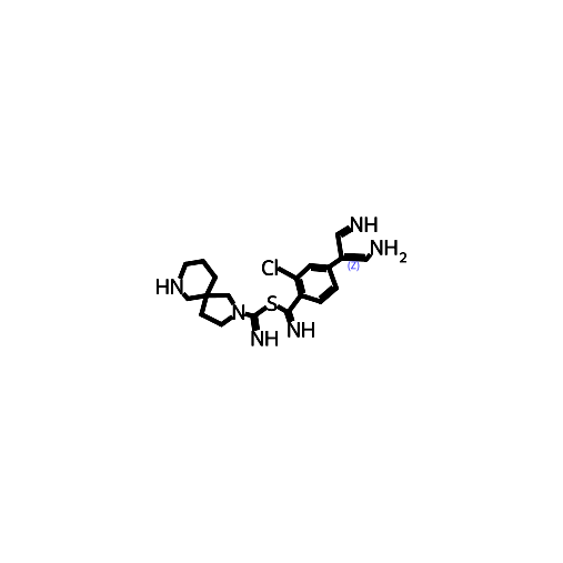 N=C/C(=C\N)c1ccc(C(=N)SC(=N)N2CCC3(CCCNC3)C2)c(Cl)c1